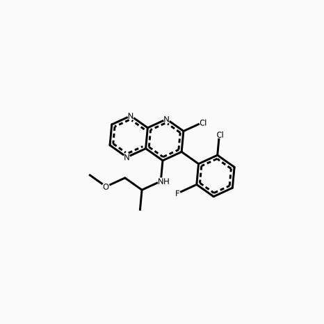 COCC(C)Nc1c(-c2c(F)cccc2Cl)c(Cl)nc2nccnc12